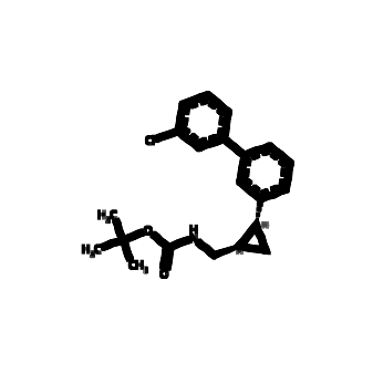 CC(C)(C)OC(=O)NC[C@@H]1C[C@H]1c1cccc(-c2cccc(Cl)c2)c1